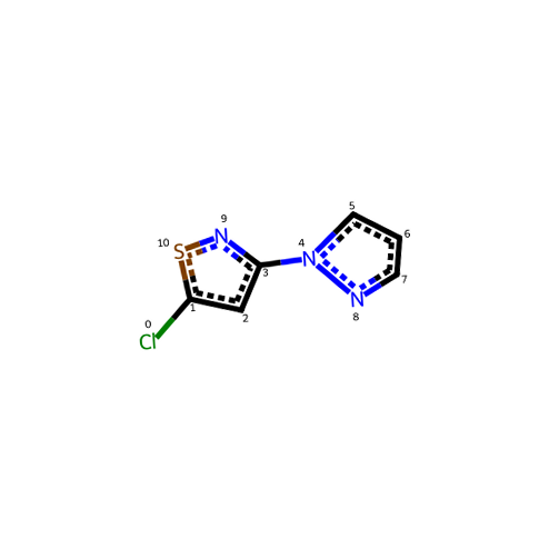 Clc1cc(-n2cccn2)ns1